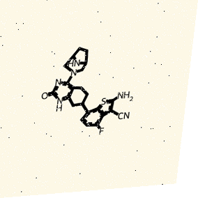 N#Cc1c(N)sc2c(C3CCc4c(N5CC6CCC(C5)N6)nc(=O)[nH]c4C3)ccc(F)c12